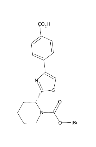 CC(C)(C)OC(=O)N1CCCC[C@@H]1c1nc(-c2ccc(C(=O)O)cc2)cs1